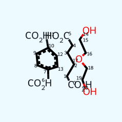 O=C(O)CCCCC(=O)O.O=C(O)c1ccc(C(=O)O)cc1.OCCOCCO